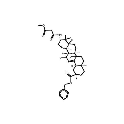 COC(=O)CC(=O)N[C@H]1CC[C@]2(C)[C@H]3C(=O)C=C4[C@@H]5C[C@@](C)(C(=O)OCc6ccccc6)CC[C@]5(C)CC[C@@]4(C)[C@]3(C)CC[C@H]2C1(C)C